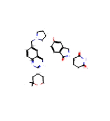 CC1(C)C[C@H](c2ncc3cc(CN4CC[C@H](Oc5ccc6c(c5)CN([C@H]5CCC(=O)NC5=O)C6=O)C4)ccc3n2)CCO1